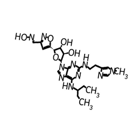 CCC(CC)Nc1nc(NCCc2cn(C)cn2)nc2c1ncn2[C@@H]1O[C@H](c2cc(C=NO)no2)[C@@H](O)[C@H]1O